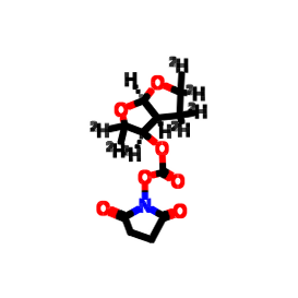 [2H]C1([2H])O[C@@H]2OC([2H])([2H])[C@]([2H])(OC(=O)ON3C(=O)CCC3=O)[C@@H]2C1([2H])[2H]